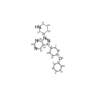 c1ccc(Oc2ccc(-c3nn(C4CCCNC4)c4ncncc34)cc2)cc1